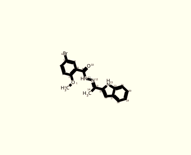 COc1ccc(Br)cc1C(=O)N/N=C(\C)c1cc2ccccc2[nH]1